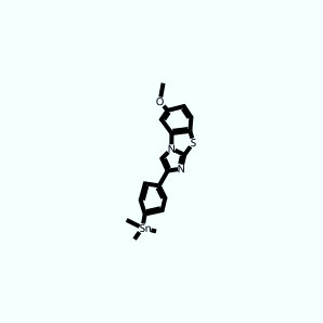 COc1ccc2sc3nc(-c4cc[c]([Sn]([CH3])([CH3])[CH3])cc4)cn3c2c1